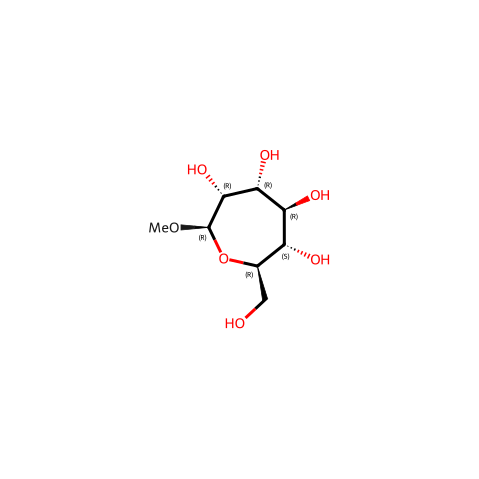 CO[C@@H]1O[C@H](CO)[C@@H](O)[C@H](O)[C@@H](O)[C@H]1O